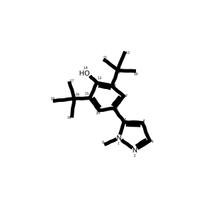 Cn1nccc1-c1cc(C(C)(C)C)c(O)c(C(C)(C)C)c1